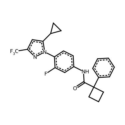 O=C(Nc1ccc(-n2nc(C(F)(F)F)cc2C2CC2)c(F)c1)C1(c2ccccc2)CCC1